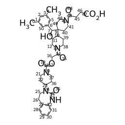 Cc1cc(C)cc([C@H](O)C2(C3CCN(C(=O)COC(=O)N4CCC(N5CCc6ccccc6NC5=O)CC4)CC3)CCN(C(=O)CCC(=O)O)CC2)c1